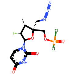 C[C@H]1[C@@H](F)[C@H](n2ccc(=O)[nH]c2=O)O[C@]1(CN=[N+]=[N-])COP(=O)(Cl)Cl